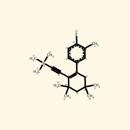 Cc1cc(C2=C(C#C[Si](C)(C)C)C(C)(C)CC(C)(C)C2)ccc1F